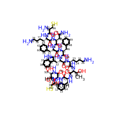 C[C@@H](O)[C@H](NC(=O)[C@H](Cc1ccccc1)NC(=O)[C@@H](NC(=O)[C@H](CCCCN)NC(=O)[C@H](Cc1c[nH]c2ccccc12)NC(=O)[C@H](Cc1ccccc1)NC(=O)[C@H](Cc1ccccc1)NC(=O)[C@H](CC(N)=O)NC(=O)[C@H](CCCCN)NC(=O)[C@@H](N)CS)[C@@H](C)O)C(=O)N[C@@H](CO)C(=O)N[C@@H](CS)C(=O)O